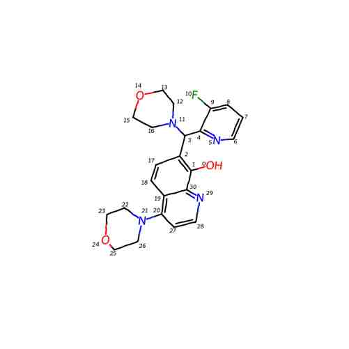 Oc1c(C(c2ncccc2F)N2CCOCC2)ccc2c(N3CCOCC3)ccnc12